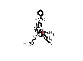 CC[C@@]12CN(OCCOC)[C@@H]([C@H](n3ccc(NC(=O)c4ccccc4)nc3=O)O1)[C@@H]2OP(C)OCCC#N